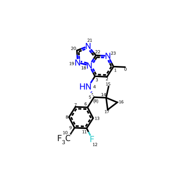 Cc1cc(N[C@@H](c2ccc(C(F)(F)F)c(F)c2)C2(C)CC2)n2ncnc2n1